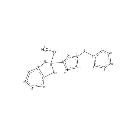 COC1(c2cn(Cc3ccccc3)cn2)Cc2ccccc2C1